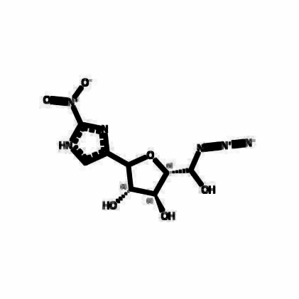 [N-]=[N+]=NC(O)[C@H]1OC(c2c[nH]c([N+](=O)[O-])n2)[C@@H](O)[C@@H]1O